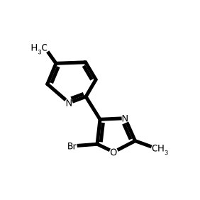 Cc1ccc(-c2nc(C)oc2Br)nc1